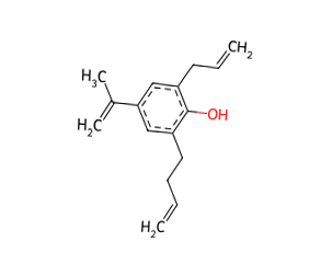 C=CCCc1cc(C(=C)C)cc(CC=C)c1O